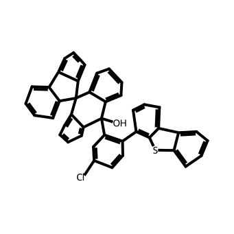 OC1(c2cc(Cl)ccc2-c2cccc3c2sc2ccccc23)c2ccccc2C2(c3ccccc3-c3ccccc32)c2ccccc21